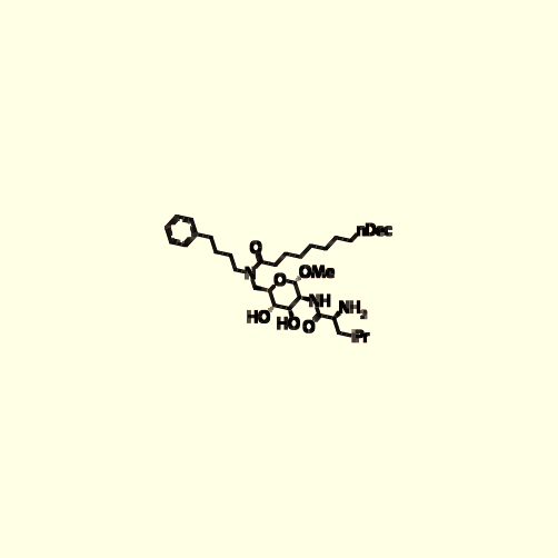 CCCCCCCCCCCCCCCCCC(=O)N(CCCCc1ccccc1)C[C@H]1O[C@H](OC)[C@@H](NC(=O)[C@@H](N)CC(C)C)[C@@H](O)[C@@H]1O